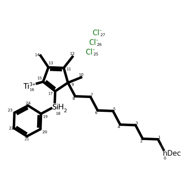 CCCCCCCCCCCCCCCCCCC1(C)C(C)=C(C)[C]([Ti+3])=C1[SiH2]c1ccccc1.[Cl-].[Cl-].[Cl-]